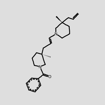 C=CC[C@]1(C)CCCN(/C=C/C[C@]2(C)CCCN(C(=O)c3ccccc3)C2)C1